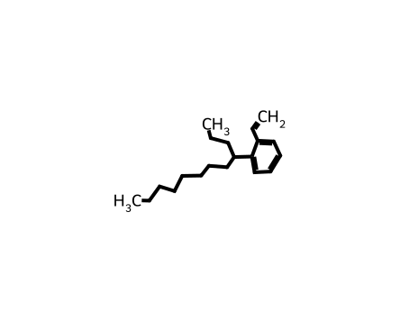 C=Cc1ccccc1C(CCC)CCCCCCCC